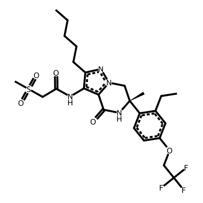 CCCCCc1nn2c(c1NC(=O)CS(C)(=O)=O)C(=O)N[C@@](C)(c1ccc(OCC(F)(F)F)cc1CC)C2